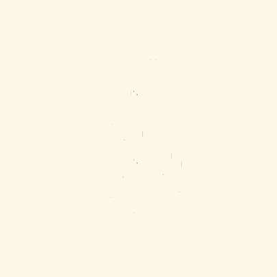 O=C(O)CNC(=O)C(F)(C(F)(F)F)C(F)(F)N1C(F)(F)C(F)(C(F)(F)F)OC(F)(C(F)(F)F)C1(F)F